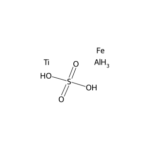 O=S(=O)(O)O.[AlH3].[Fe].[Ti]